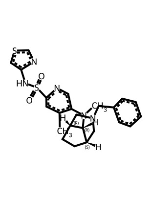 Cc1cc(S(=O)(=O)Nc2cscn2)ncc1N(C)[C@H]1[C@@H]2CC[C@H]1CN(Cc1ccccc1)C2